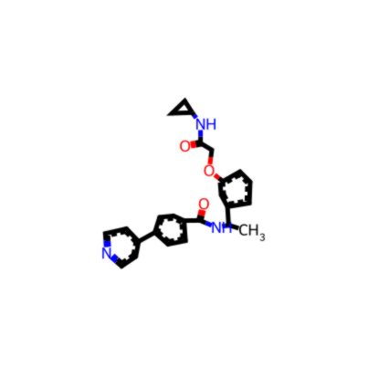 CC(NC(=O)c1ccc(-c2ccncc2)cc1)c1cccc(OCC(=O)NC2CC2)c1